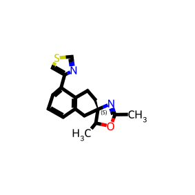 CC1=N[C@]2(CCc3c(cccc3-c3cscn3)C2)C(C)O1